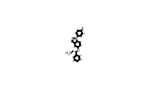 NC[C@H](Oc1ccc2c(cnn2-c2ccc(F)cc2)c1)c1ccccc1